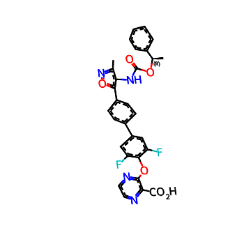 Cc1noc(-c2ccc(-c3cc(F)c(Oc4nccnc4C(=O)O)c(F)c3)cc2)c1NC(=O)O[C@H](C)c1ccccc1